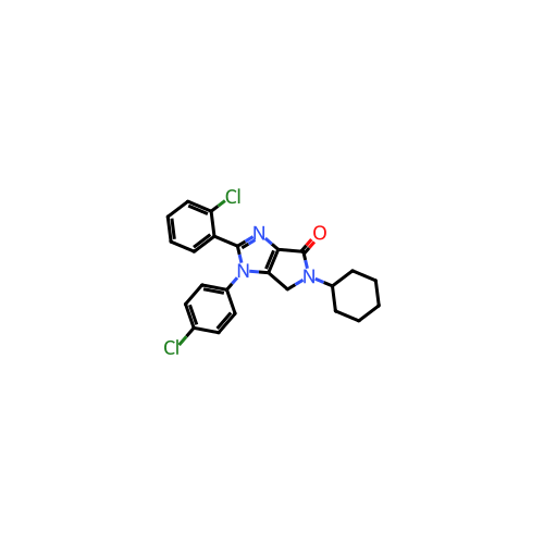 O=C1c2nc(-c3ccccc3Cl)n(-c3ccc(Cl)cc3)c2CN1C1CCCCC1